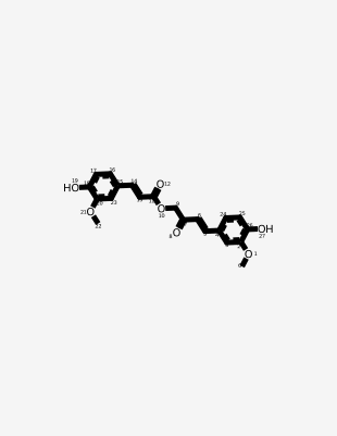 COc1cc(C=CC(=O)COC(=O)C=Cc2ccc(O)c(OC)c2)ccc1O